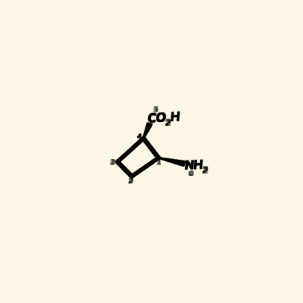 N[C@H]1CC[C@H]1C(=O)O